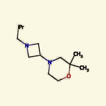 CC(C)CN1CC(N2CCOC(C)(C)C2)C1